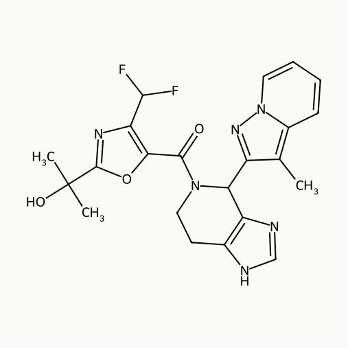 Cc1c(C2c3nc[nH]c3CCN2C(=O)c2oc(C(C)(C)O)nc2C(F)F)nn2ccccc12